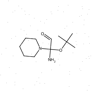 CC(C)(C)OC(N)(C=O)N1CCCCC1